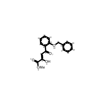 COC(=O)/C(O)=C/C(=O)c1ccccc1OCc1ccccc1